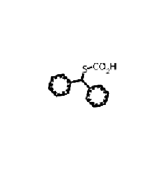 O=C(O)SC(c1ccccc1)c1ccccc1